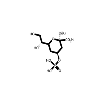 CC(C)CO[C@]1(C(=O)O)C[C@@H](OP(=O)(O)O)CC([C@H](O)CO)O1